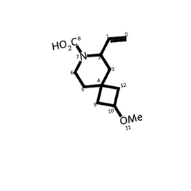 C=CC1CC2(CCN1C(=O)O)CC(OC)C2